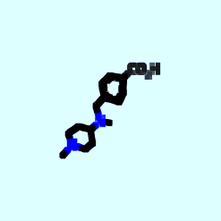 CN1CCC(N(C)Cc2ccc(C(=O)O)cc2)CC1